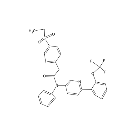 CCS(=O)(=O)c1ccc(CC(=O)N(c2ccccc2)c2ccc(-c3ccccc3OC(F)(F)F)nc2)cc1